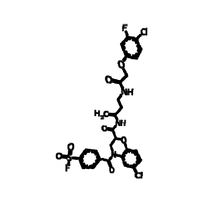 C=C(CCNC(=O)COc1ccc(Cl)c(F)c1)NC(=O)C1CN(C(=O)c2ccc(S(=O)(=O)F)cc2)c2cc(Cl)ccc2O1